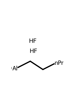 CCCC[CH2][Al].F.F